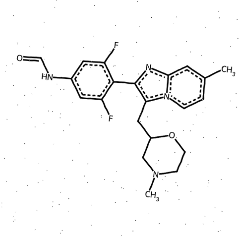 Cc1ccn2c(CC3CN(C)CCO3)c(-c3c(F)cc(NC=O)cc3F)nc2c1